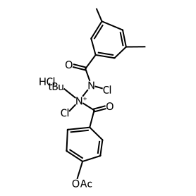 CC(=O)Oc1ccc(C(=O)[N+](Cl)(N(Cl)C(=O)c2cc(C)cc(C)c2)C(C)(C)C)cc1.Cl